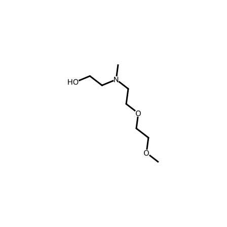 COCCOCCN(C)CCO